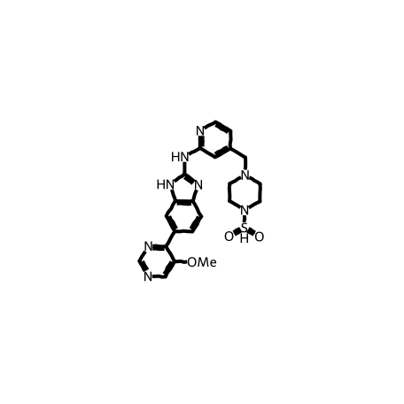 COc1cncnc1-c1ccc2nc(Nc3cc(CN4CCN([SH](=O)=O)CC4)ccn3)[nH]c2c1